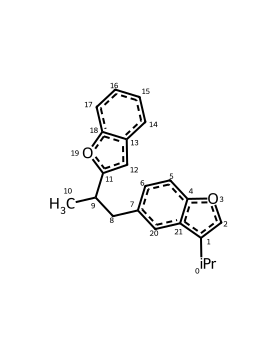 CC(C)c1coc2ccc(CC(C)c3cc4ccccc4o3)cc12